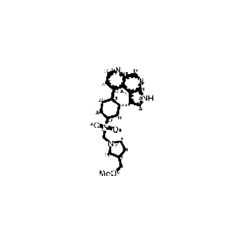 COCC1CCN(CS(=O)(=O)C2CCC(c3ccnc4cnc5[nH]ccc5c34)CC2)C1